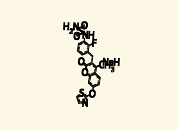 Cc1c(Cc2cccc(NS(N)(=O)=O)c2F)c(=O)oc2cc(Oc3nccs3)ccc12.[NaH]